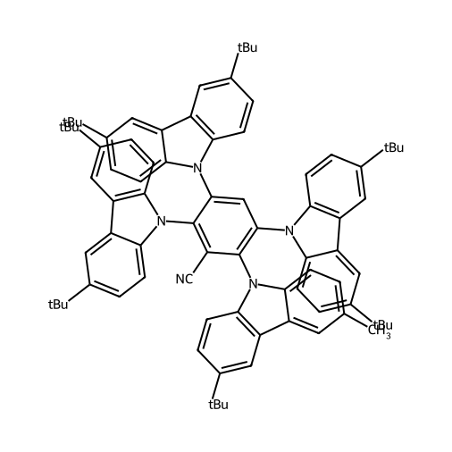 Cc1ccc2c(c1)c1cc(C(C)(C)C)ccc1n2-c1c(-n2c3ccc(C(C)(C)C)cc3c3cc(C(C)(C)C)ccc32)cc(-n2c3ccc(C(C)(C)C)cc3c3cc(C(C)(C)C)ccc32)c(-n2c3ccc(C(C)(C)C)cc3c3cc(C(C)(C)C)ccc32)c1C#N